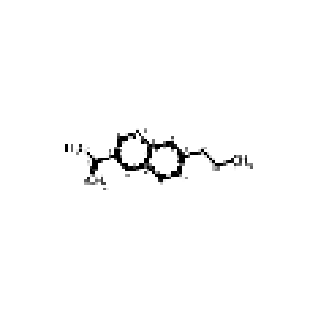 C=C(C)c1cnc2cc(CCC)ccc2c1